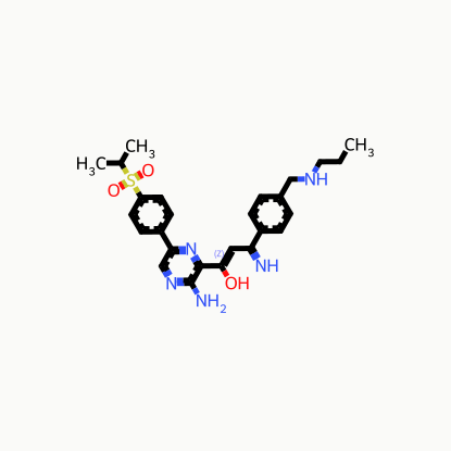 CCCNCc1ccc(C(=N)/C=C(\O)c2nc(-c3ccc(S(=O)(=O)C(C)C)cc3)cnc2N)cc1